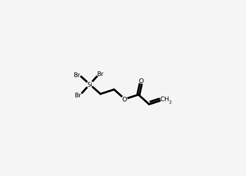 C=CC(=O)OCC[Si](Br)(Br)Br